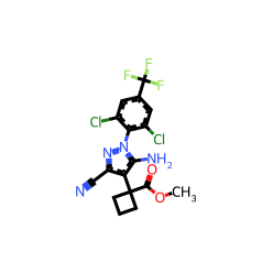 COC(=O)C1(c2c(C#N)nn(-c3c(Cl)cc(C(F)(F)F)cc3Cl)c2N)CCC1